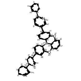 c1ccc(-c2ccc(-c3ccc4c(c3)Oc3cccc5c3B4c3ccc(-c4ccc(-c6ccccc6)nc4)cc3O5)cn2)cc1